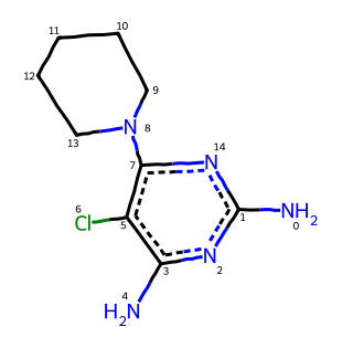 Nc1nc(N)c(Cl)c(N2CCCCC2)n1